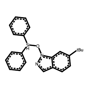 CC(C)(C)c1ccc2cnn(O[SiH](c3ccccc3)c3ccccc3)c2c1